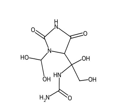 NC(=O)NC(O)(CO)C1C(=O)NC(=O)N1C(O)O